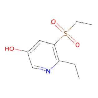 CCc1ncc(O)cc1S(=O)(=O)CC